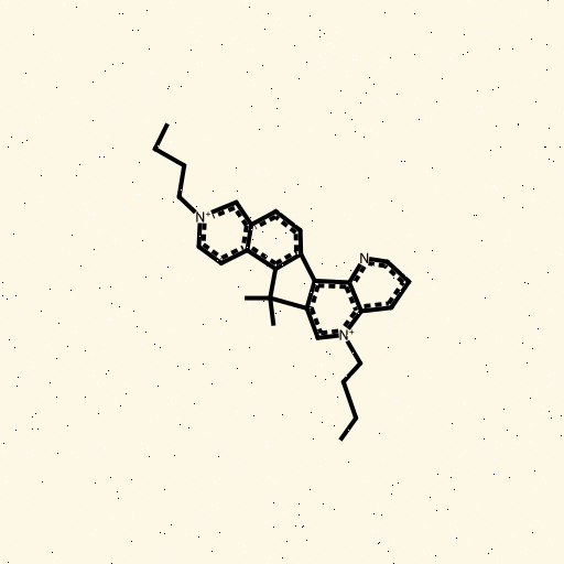 CCCC[n+]1ccc2c3c(ccc2c1)-c1c(c[n+](CCCC)c2cccnc12)C3(C)C